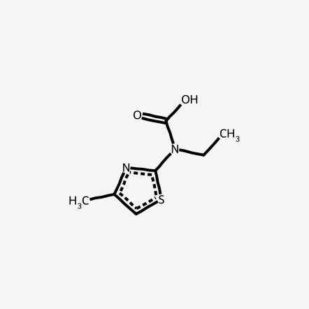 CCN(C(=O)O)c1nc(C)cs1